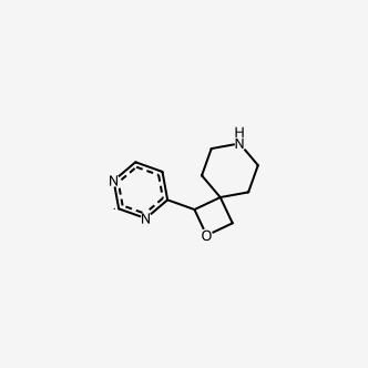 [c]1nccc(C2OCC23CCNCC3)n1